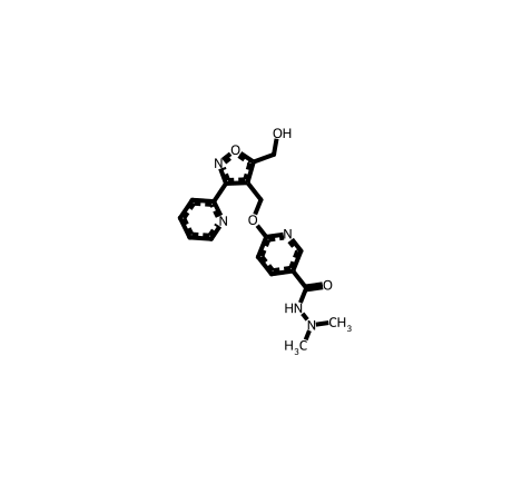 CN(C)NC(=O)c1ccc(OCc2c(-c3ccccn3)noc2CO)nc1